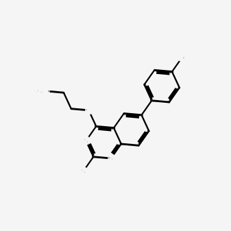 COCCOc1nc(N)nc2ccc(-c3ccc(NC(C)=O)cc3)cc12